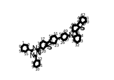 c1ccc(-c2nc(-c3ccccc3)nc(-c3ccc4c(c3)sc3cc(-c5ccc(-n6c7ccccc7c7c8sc9ccccc9c8ccc76)cc5)ccc34)n2)cc1